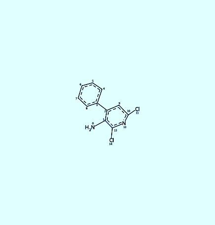 Nc1c(-c2ccccc2)cc(Cl)nc1Cl